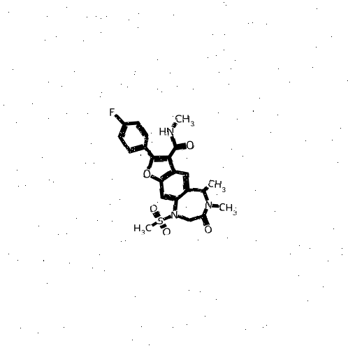 CNC(=O)c1c(-c2ccc(F)cc2)oc2cc3c(cc12)C(C)N(C)C(=O)CN3S(C)(=O)=O